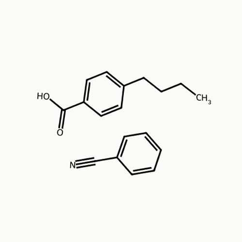 CCCCc1ccc(C(=O)O)cc1.N#Cc1ccccc1